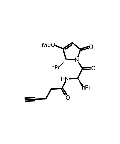 C#CCCC(=O)N[C@H](CCC)C(=O)N1C(=O)C=C(OC)[C@H]1CCC